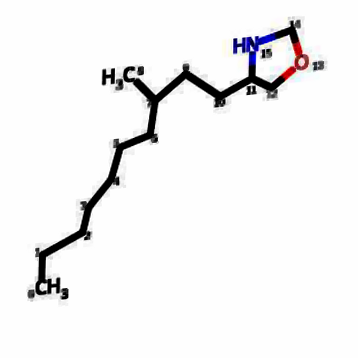 CCCCCCCC(C)CCC1COCN1